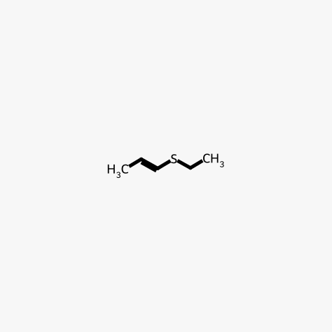 CC=CSCC